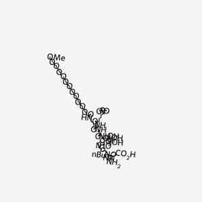 CCCCc1nc2c(N)nc3cc(C(=O)O)ccc3c2n1Cc1ccc(C[N+](C)(C)Cc2ccc(O[C@H]3O[C@H](CO)[C@@H](O)[C@H](O)[C@@H]3O)c(NC(=O)CCNC(=O)[C@H](CCCCNC(=O)CCOCCOCCOCCOCCOCCOCCOCCOCCOCCOCCOCCOC)NC(=O)CCCCCN3C(=O)C=CC3=O)c2)cc1